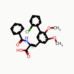 COc1cc(/C=C(\NC(=O)c2ccccc2)C(=O)O)cc(-c2ccccc2Cl)c1OC